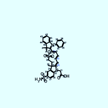 CC1(C)C(/C=C/C=C/C=C2/N(CC(=O)O)c3ccc(S(N)(=O)=O)cc3C2(C)CCS(=O)(=O)O)=[N+](c2ccccc2)c2ccccc21